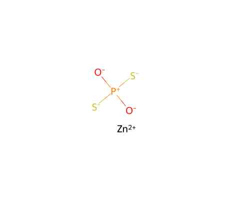 [O-][P+]([O-])([S-])[S-].[Zn+2]